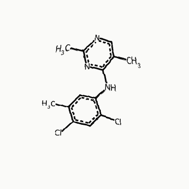 Cc1ncc(C)c(Nc2cc(C)c(Cl)cc2Cl)n1